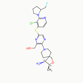 C[C@@H]1OCC2(CCN(c3ncc(Sc4ccnc(N5CCCC5CF)c4Cl)nc3CO)CC2)[C@@H]1N